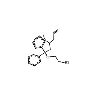 C=CCC(CC(OCCC)(c1ccccc1)c1ccccc1)NC.Cl